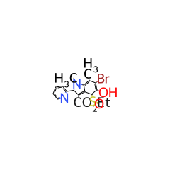 CCOC(=O)C1=C2C(=S=O)C(O)=C(Br)C(C)=C2N(C)C1c1ccccn1